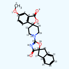 COc1ccc2c(c1)C(=O)OC21CCN(C2=NC(=O)C3(Cc4ccccc4C3)O2)CC1